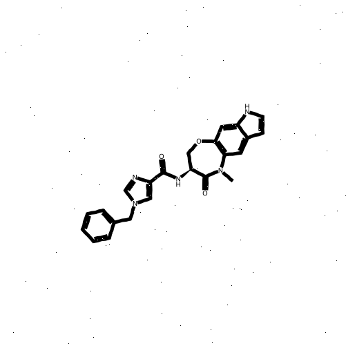 CN1C(=O)[C@@H](NC(=O)c2cn(Cc3ccccc3)cn2)COc2cc3[nH]ccc3cc21